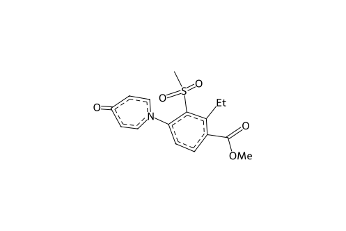 CCc1c(C(=O)OC)ccc(-n2ccc(=O)cc2)c1S(C)(=O)=O